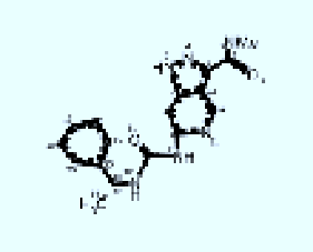 CNC(=O)c1n[nH]c2cc(NC(=O)N[C@H](C)c3ccccc3)ncc12